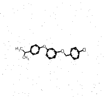 CC(C)c1ccc(Oc2cccc(OCc3ccc(Cl)cc3)c2)cc1